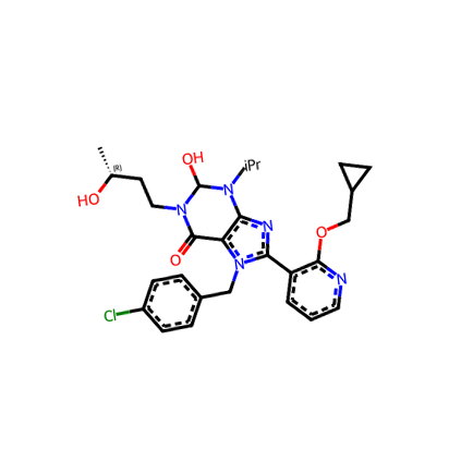 CC(C)N1c2nc(-c3cccnc3OCC3CC3)n(Cc3ccc(Cl)cc3)c2C(=O)N(CC[C@@H](C)O)C1O